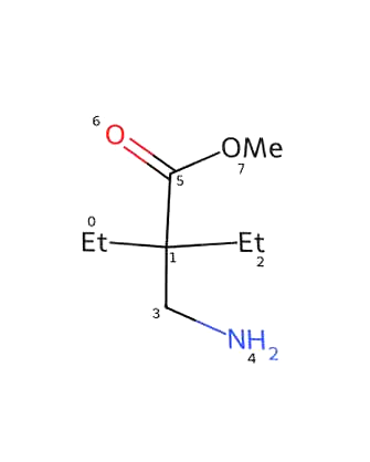 CCC(CC)(CN)C(=O)OC